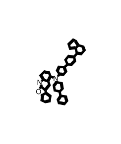 C1=CC(c2ccc(N(C3=CCC(c4ccccc4)C=C3)c3cccc4nc5oc6ccccc6c5cc34)cc2)CC=C1c1cccc2ccccc12